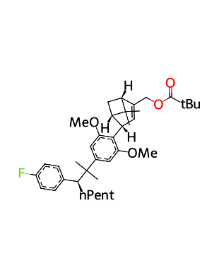 CCCCC[C@@H](c1ccc(F)cc1)C(C)(C)c1cc(OC)c([C@H]2C=C(COC(=O)C(C)(C)C)[C@H]3C[C@@H]2C3(C)C)c(OC)c1